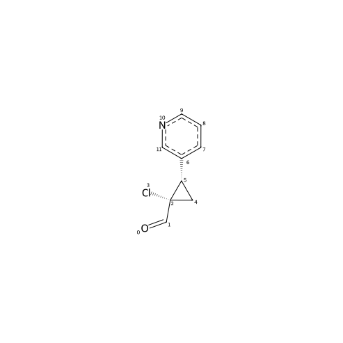 O=C[C@]1(Cl)C[C@H]1c1cccnc1